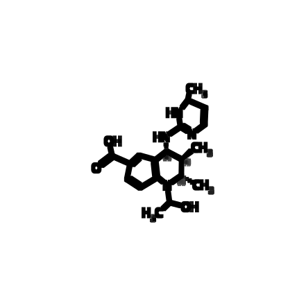 CC1C=CN=C(N[C@H]2c3cc(C(=O)O)ccc3N(C(C)O)[C@@H](C)[C@@H]2C)N1